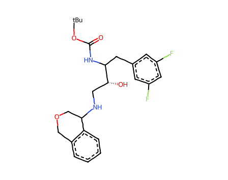 CC(C)(C)OC(=O)NC(Cc1cc(F)cc(F)c1)[C@H](O)CNC1COCc2ccccc21